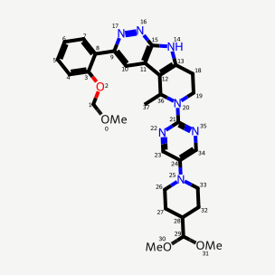 COCOc1ccccc1-c1cc2c3c([nH]c2nn1)CCN(c1ncc(N2CCC(C(OC)OC)CC2)cn1)C3C